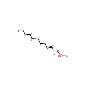 CCCCCCCCC=COCOC